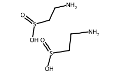 NCCS(=O)O.NCCS(=O)O